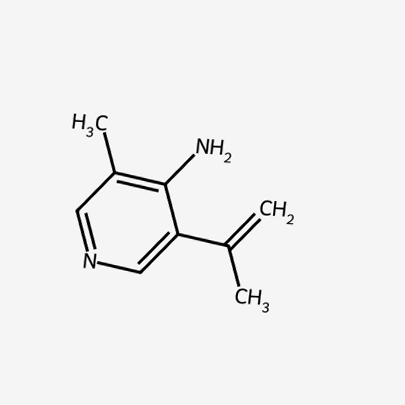 C=C(C)c1cncc(C)c1N